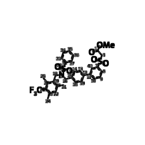 COC(=O)CS(=O)(=O)c1cccc(-c2ccc(CN(Cc3c(C)cc(C)c(C(F)(F)F)c3C)S(=O)(=O)c3ccccc3)cc2)c1